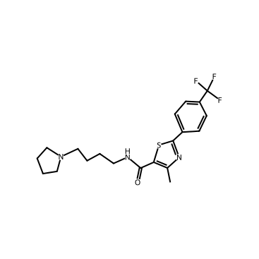 Cc1nc(-c2ccc(C(F)(F)F)cc2)sc1C(=O)NCCCCN1CCCC1